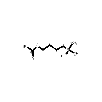 CC(C)C(=O)OCCCC[Si](C)(C)O